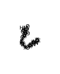 O=C1CCC(N2C(=O)c3ccc(OCCN4CCN(C[C@H]5C[C@H](OC6CCN(c7ccn8c(n7)nc7ccccc78)CC6)C5)CC4)cc3C2=O)C(=O)N1